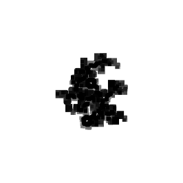 N=C(N)NCCC[C@H](NC(=O)[C@@H](Cc1ccccc1)NC(=O)[C@H](CC/N=C\N)NC(=O)[C@H](CCC(=O)O)NC(=O)[C@H](CS)NC(=O)CN1C(=O)N[C@@H](CCCNC(=N)N)C1=O)C(=O)N[C@@H](Cc1c[nH]c2ccccc12)C(=O)N[C@@H](CS)C(N)=O